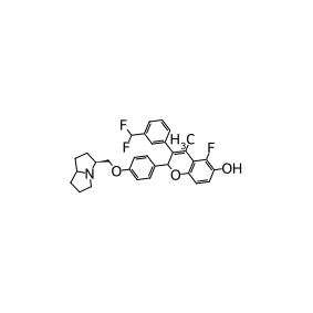 CC1=C(c2cccc(C(F)F)c2)C(c2ccc(OC[C@@H]3CCC4CCCN43)cc2)Oc2ccc(O)c(F)c21